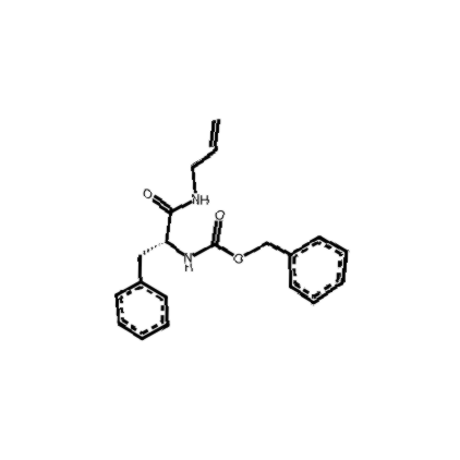 C=CCNC(=O)[C@@H](Cc1ccccc1)NC(=O)OCc1ccccc1